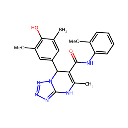 Bc1cc(C2C(C(=O)Nc3ccccc3OC)=C(C)Nc3nnnn32)cc(OC)c1O